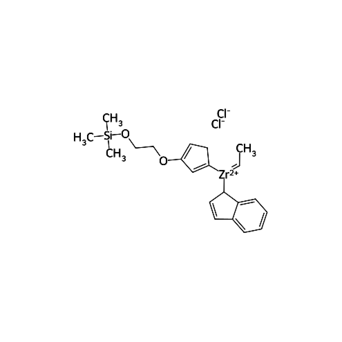 C[CH]=[Zr+2]([C]1=CC(OCCO[Si](C)(C)C)=CC1)[CH]1C=Cc2ccccc21.[Cl-].[Cl-]